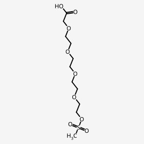 CS(=O)(=O)OCCOCCOCCOCCOCC(=O)O